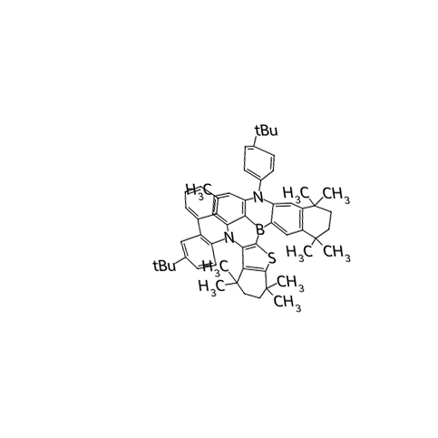 Cc1cc2c3c(c1)N(c1ccc(C(C)(C)C)cc1-c1ccccc1)c1c(sc4c1C(C)(C)CCC4(C)C)B3c1cc3c(cc1N2c1ccc(C(C)(C)C)cc1)C(C)(C)CCC3(C)C